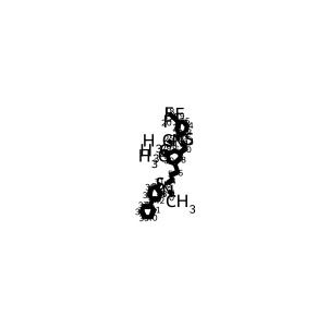 CCN1/C(=C/C=C/C2=CC(=C/c3sc4ccc(C(F)(F)F)cc4[n+]3CC)/CC(C)(C)C2)Sc2ccc(-c3ccccc3)cc21